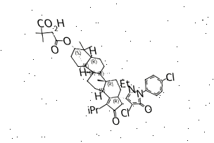 CCn1c([C@@]23CC[C@]4(C)[C@H](CC[C@@H]5[C@@]6(C)CC[C@H](OC(=O)CC(C)(C)C(=O)O)C(C)(C)[C@@H]6CC[C@]54C)C2=C(C(C)C)C(=O)C3)c(Cl)c(=O)n1-c1ccc(Cl)cc1